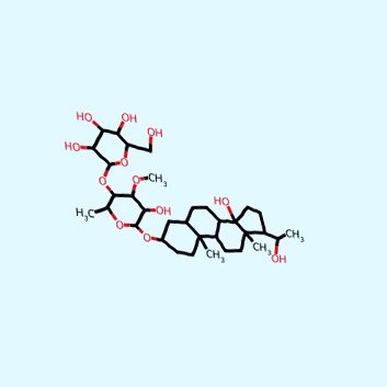 COC1C(O)C(OC2CCC3(C)C(CCC4C3CCC3(C)C(C(C)O)CCC43O)C2)OC(C)C1OC1OC(CO)C(O)C(O)C1O